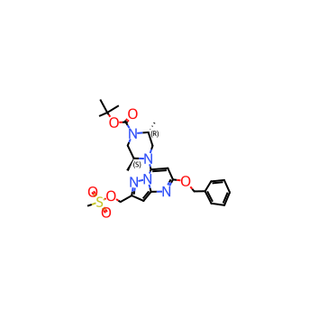 C[C@@H]1CN(c2cc(OCc3ccccc3)nc3cc(COS(C)(=O)=O)nn23)[C@@H](C)CN1C(=O)OC(C)(C)C